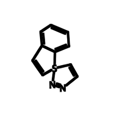 C1=CS2(C=Cc3ccccc32)N=N1